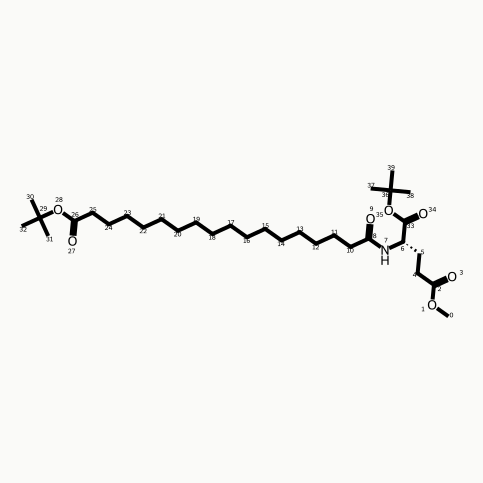 COC(=O)CC[C@H](NC(=O)CCCCCCCCCCCCCCCCC(=O)OC(C)(C)C)C(=O)OC(C)(C)C